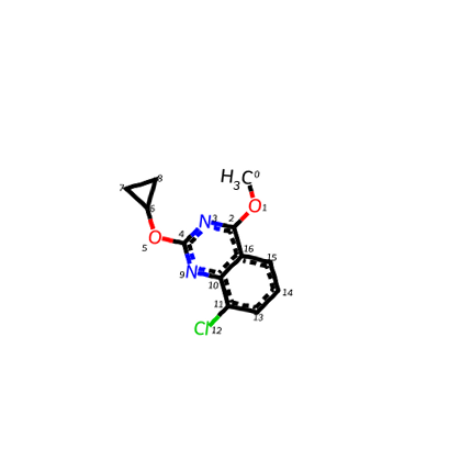 COc1nc(OC2CC2)nc2c(Cl)cccc12